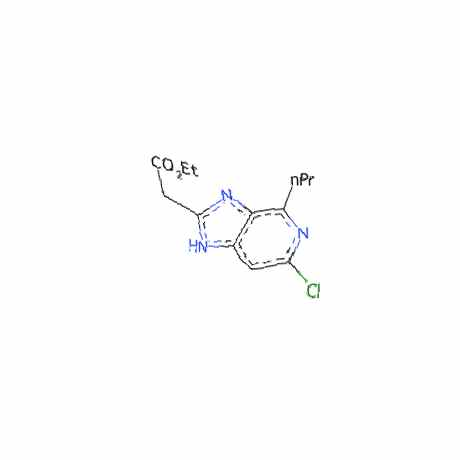 CCCc1nc(Cl)cc2[nH]c(CC(=O)OCC)nc12